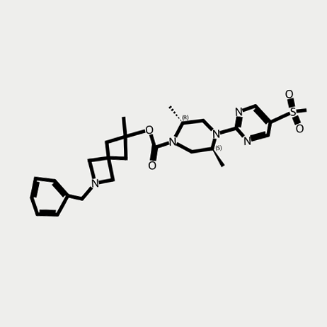 C[C@@H]1CN(c2ncc(S(C)(=O)=O)cn2)[C@@H](C)CN1C(=O)OC1(C)CC2(CN(Cc3ccccc3)C2)C1